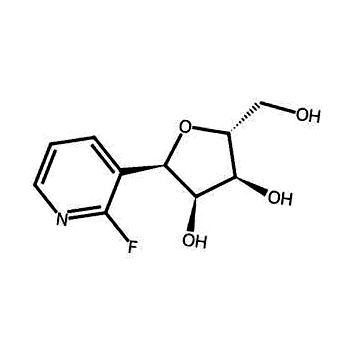 OC[C@H]1O[C@H](c2cccnc2F)[C@H](O)[C@@H]1O